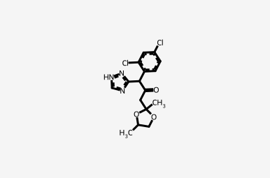 CC1COC(C)(CC(=O)C(c2nc[nH]n2)c2ccc(Cl)cc2Cl)O1